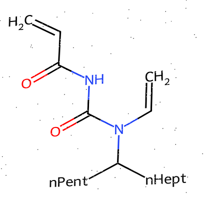 C=CC(=O)NC(=O)N(C=C)C(CCCCC)CCCCCCC